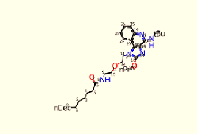 CCCCCCCCCCCCCCCC(=O)NCCOCCn1c(OCCC)nc2c(NC(C)(C)C)nc3ccccc3c21